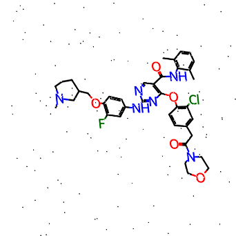 Cc1cccc(C)c1NC(=O)c1cnc(Nc2ccc(OCC3CCCN(C)C3)c(F)c2)nc1Oc1ccc(CC(=O)N2CCOCC2)cc1Cl